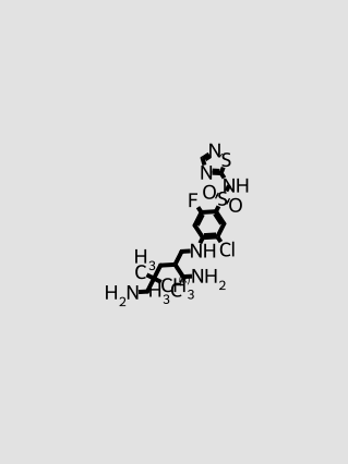 C[C@@H](N)C(CNc1cc(F)c(S(=O)(=O)Nc2ncns2)cc1Cl)CC(C)(C)CN